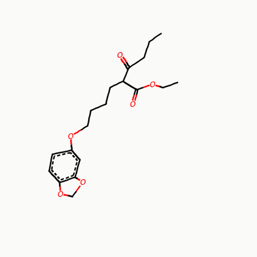 CCCC(=O)C(CCCCOc1ccc2c(c1)OCO2)C(=O)OCC